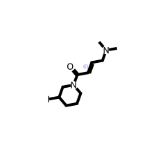 CN(C)C/C=C/C(=O)N1CCCC(I)C1